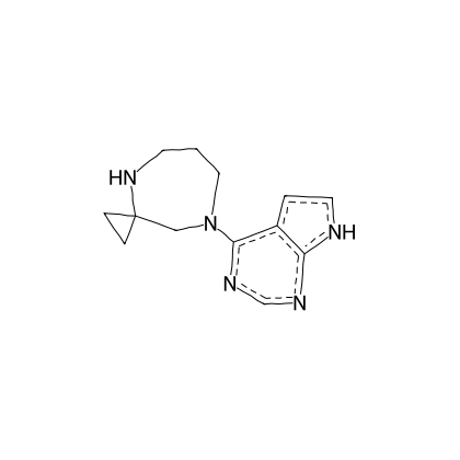 c1nc(N2CCCNC3(CC3)C2)c2cc[nH]c2n1